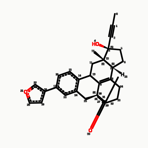 CC#C[C@]1(O)CC[C@H]2C3=C4C(C[C@@]21C)c1ccc(-c2ccoc2)cc1C[C@@]41CCC(=O)C=C1CC3